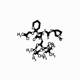 C=C(Cl)COC1(N2C(=O)[C@H](CC(O[SiH](C)C(C)(C)C)O[SiH](C)C(C)(C)C)[C@H]2SC(=S)SC2CC[S+]([O-])C2)CCCCO1